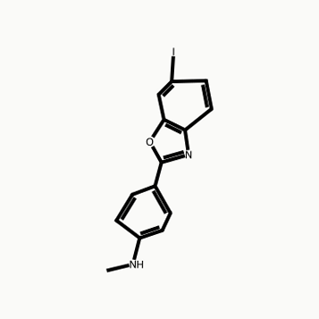 CNc1ccc(-c2nc3ccc(I)cc3o2)cc1